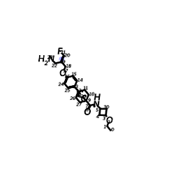 CCOC1CC(NC(=O)C23CCC(c4ccc(OC/C(=C/F)CN)cc4)(CC2)CC3)C1